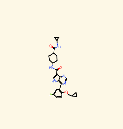 O=C(N[C@H]1CC[C@H](C(=O)NC2CC2)CC1)c1c[nH]c2c(-c3cc(F)ccc3OCC3CC3)ncnc12